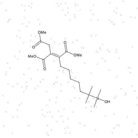 COC(=O)C/C(C(=O)OC)=C(/CCCCCC(C)(C)[Si](C)(C)O)C(=O)OC